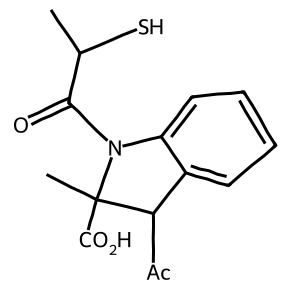 CC(=O)C1c2ccccc2N(C(=O)C(C)S)C1(C)C(=O)O